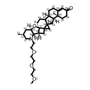 COCCOCCOCCN1C[C@@H](C)C[C@H]2O[C@@]34CC[C@H]5[C@@H]6CCC7=CC(=O)CC[C@]7(C)[C@H]6CC56CC63C[C@@H]4[C@@H]21